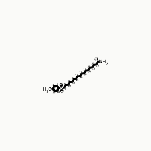 Cc1ccc(S(=O)(=O)CCCCCCCCCCCCCCCCCC(N)=O)cc1